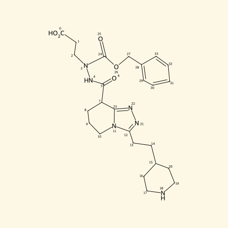 O=C(O)CCN(NC(=O)C1CCCn2c(CCC3CCNCC3)nnc21)C(=O)OCc1ccccc1